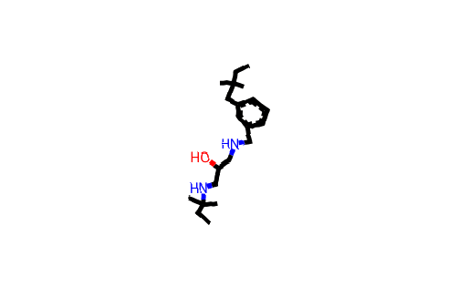 CCC(C)(C)Cc1cccc(CNCC(O)CNC(C)(C)CC)c1